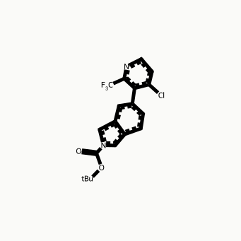 CC(C)(C)OC(=O)n1cc2ccc(-c3c(Cl)ccnc3C(F)(F)F)cc2c1